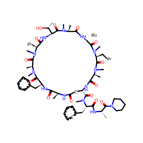 CC[C@H](C)[C@@H]1NC(=O)[C@H](C)N(C)C(=O)[C@H]([C@@H](C)O)NC(=O)[C@H](C(C)C)N(C)C(=O)[C@H](C)N(C)C(=O)[C@H](Cc2ccccc2)NC(=O)[C@H](C)NC(=O)C[C@@H](C(=O)N(C)[C@@H](Cc2ccccc2)C(=O)N[C@@H](C)C(=O)N2CCCCC2)NC(=O)[C@H](C)N(C)C(=O)[C@H](CC(C)C)N(C)C1=O